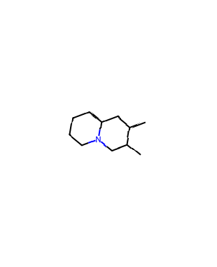 CC1CC2CCCCN2CC1C